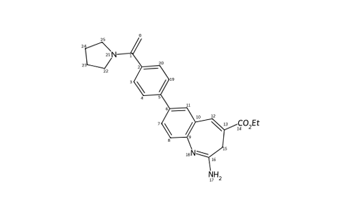 C=C(c1ccc(-c2ccc3c(c2)C=C(C(=O)OCC)CC(N)=N3)cc1)N1CCCC1